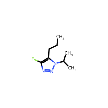 CCCc1c(F)nnn1C(C)C